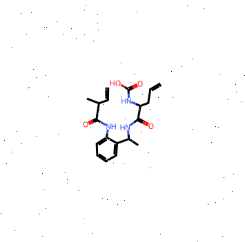 C=CCC(NC(=O)O)C(=O)NC(C)c1ccccc1NC(=O)C(C)C=C